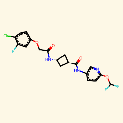 O=C(COc1ccc(Cl)c(F)c1)N[C@H]1C[C@H](C(=O)Nc2ccc(OC(F)F)nc2)C1